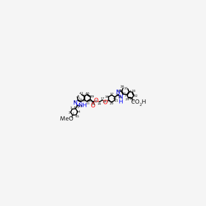 COC1CCC(c2nc(C)c(-c3cc(C(=O)OCCOC4CCC(c5nc(C)c(-c6cc(C(=O)O)ccc6C)[nH]5)CC4)ccc3C)[nH]2)CC1